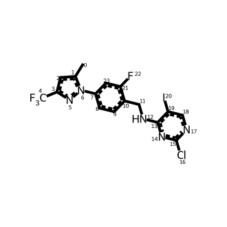 Cc1cc(C(F)(F)F)nn1-c1ccc(CNc2nc(Cl)ncc2I)c(F)c1